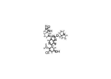 O=C1NCC2(CCCN(c3nc(OCC45CCCN4CCC5)nc4c(F)c(-c5cc(O)cc(Cl)c5C5CC5)ncc34)C2)N1